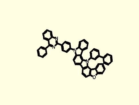 c1ccc(-c2cccc(-n3c4c(ccc5oc6ccccc6c54)c4ccc5c(c6ccccc6n5-c5ccc(-c6nc(-c7ccccc7)c7ccccc7n6)cc5)c43)c2)cc1